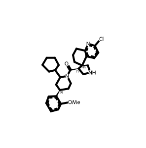 COc1ccccc1[C@@H]1CCN(C(=O)[C@@H]2CNC[C@]23CCCc2nc(Cl)ccc23)C(C2CCCCC2)C1